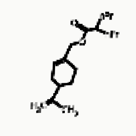 C=C(C)C1CC=C(COC(=O)C(CCC)CCC)CC1